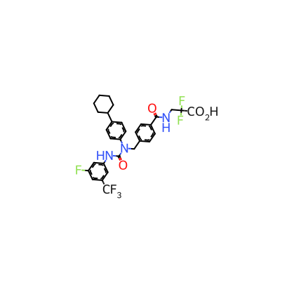 O=C(NCC(F)(F)C(=O)O)c1ccc(CN(C(=O)Nc2cc(F)cc(C(F)(F)F)c2)c2ccc(C3CCCCC3)cc2)cc1